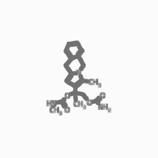 CNC(=O)OC(C)(COC(N)=O)c1cc2n(c1C)Cc1ccccc1C2